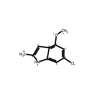 COc1cc(Cl)cc2[nH]c(C)cc12